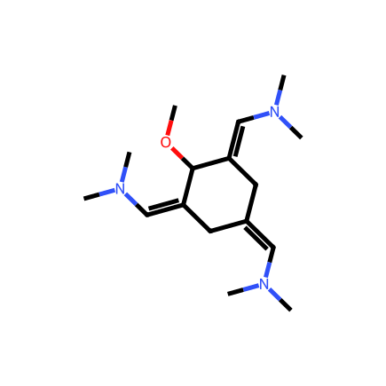 COC1C(=CN(C)C)CC(=CN(C)C)CC1=CN(C)C